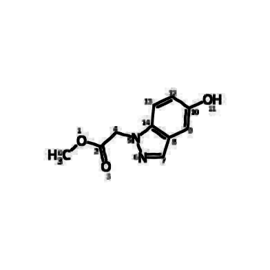 COC(=O)Cn1ncc2cc(O)ccc21